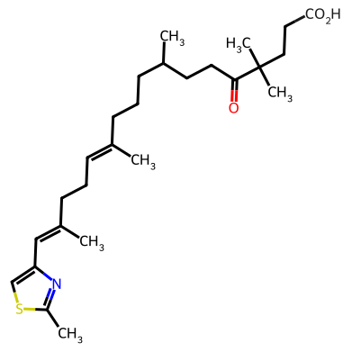 C/C(=C\c1csc(C)n1)CC/C=C(\C)CCCC(C)CCC(=O)C(C)(C)CCC(=O)O